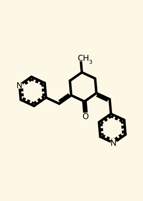 CC1CC(=Cc2ccncc2)C(=O)C(=Cc2ccncc2)C1